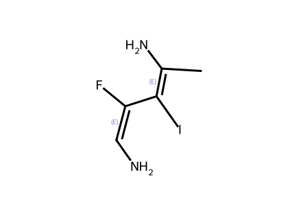 C/C(N)=C(I)/C(F)=C\N